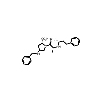 CCOC(=O)[C@H](CCc1ccccc1)N[C@@H](C)C(=O)N1C[C@@H](NCc2ccccc2)C[C@H]1C(=O)O